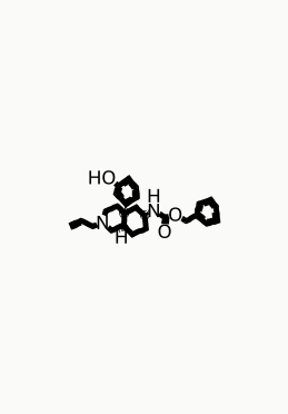 C=CCN1CC[C@@]2(c3cccc(O)c3)C[C@@H](NC(=O)OCc3ccccc3)CC[C@@H]2C1